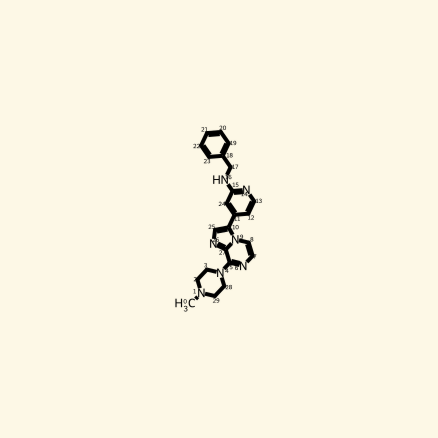 CN1CCN(c2nccn3c(-c4ccnc(NCc5ccccc5)c4)cnc23)CC1